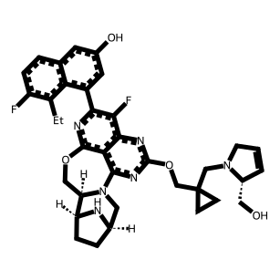 CCc1c(F)ccc2cc(O)cc(-c3nc4c5c(nc(OCC6(CN7CC=C[C@@H]7CO)CC6)nc5c3F)N3C[C@H]5CC[C@H](N5)[C@H]3CO4)c12